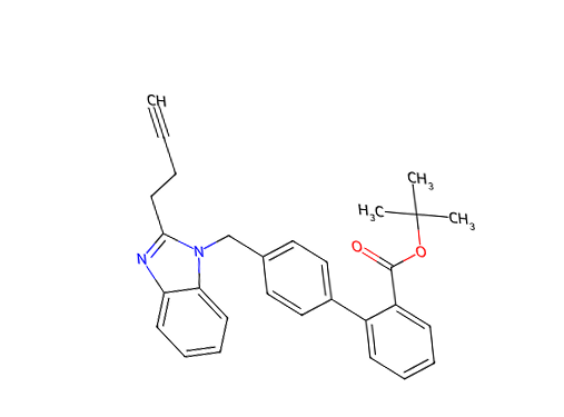 C#CCCc1nc2ccccc2n1Cc1ccc(-c2ccccc2C(=O)OC(C)(C)C)cc1